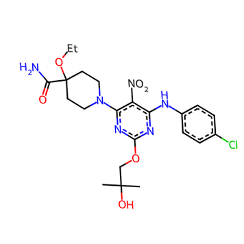 CCOC1(C(N)=O)CCN(c2nc(OCC(C)(C)O)nc(Nc3ccc(Cl)cc3)c2[N+](=O)[O-])CC1